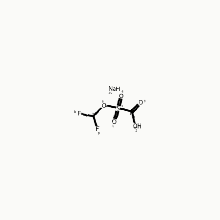 O=C(O)S(=O)(=O)OC(F)F.[NaH]